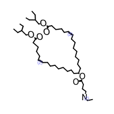 C/C=N\CCCC(=O)OC(CCCCCCCC/C=C\CCCCC(=O)OCC(CC)CC)CCCCCCCC/C=C\CCCCC(=O)OCC(CC)CC